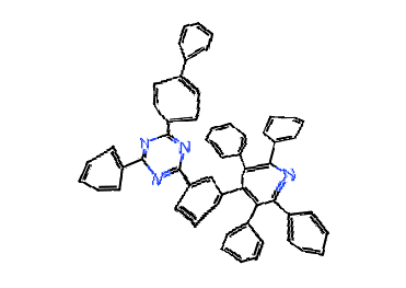 c1ccc(-c2ccc(-c3nc(-c4ccccc4)nc(-c4cccc(-c5c(-c6ccccc6)c(-c6ccccc6)nc(-c6ccccc6)c5-c5ccccc5)c4)n3)cc2)cc1